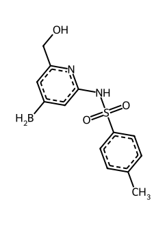 Bc1cc(CO)nc(NS(=O)(=O)c2ccc(C)cc2)c1